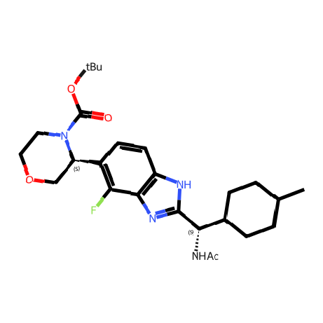 CC(=O)N[C@H](c1nc2c(F)c([C@H]3COCCN3C(=O)OC(C)(C)C)ccc2[nH]1)C1CCC(C)CC1